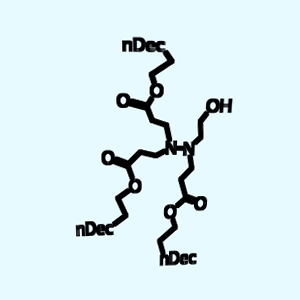 CCCCCCCCCCCCOC(=O)CCN(CCO)N(CCC(=O)OCCCCCCCCCCCC)CCC(=O)OCCCCCCCCCCCC